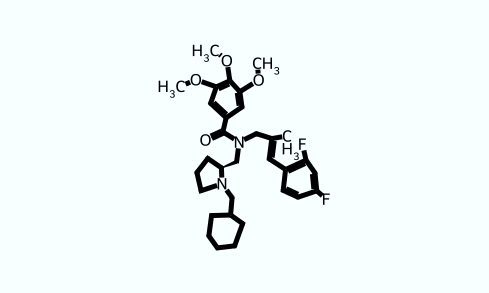 COc1cc(C(=O)N(CC(C)=Cc2ccc(F)cc2F)C[C@@H]2CCCN2CC2CCCCC2)cc(OC)c1OC